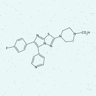 O=C(O)N1CCN(c2nn3c(-c4ccncc4)c(-c4ccc(F)cc4)nc3s2)CC1